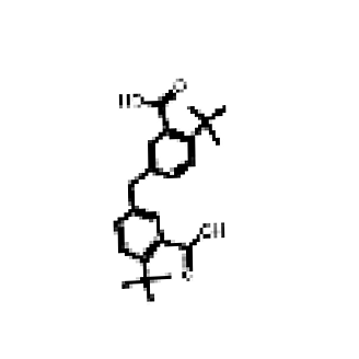 CC(C)(C)c1ccc(Cc2ccc(C(C)(C)C)c(C(=O)O)c2)cc1C(=O)O